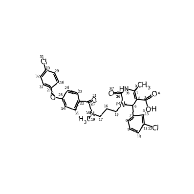 CC1=C(C(=O)O)C(c2cccc(Cl)c2)N(CCCN(C)C(=O)c2ccc(Oc3ccc(Cl)cc3)cc2)C(=O)N1